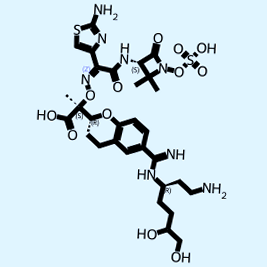 CC1(C)[C@H](NC(=O)/C(=N\O[C@](C)(C(=O)O)[C@H]2CCc3cc(C(=N)N[C@@H](CCN)CCC(O)CO)ccc3O2)c2csc(N)n2)C(=O)N1OS(=O)(=O)O